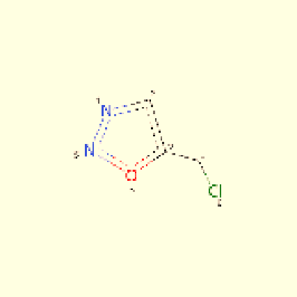 ClCc1[c]nno1